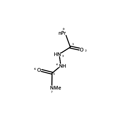 CCCC(=O)NNC(=O)NC